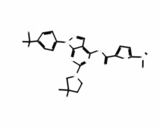 CC(C)(C)c1ccc(-n2ncc3c(NC(=O)c4ccc([N+](=O)[O-])s4)nc(N4CCC(F)(F)C4)nc32)cc1